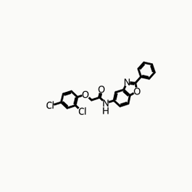 O=C(COc1ccc(Cl)cc1Cl)Nc1ccc2oc(-c3ccccc3)nc2c1